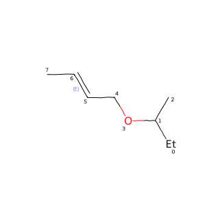 [CH2]CC(C)OC/C=C/C